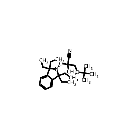 CCC1(CC)c2ccccc2C(CC)(CC)N1OC(C)(C#N)COC(C)(C)C